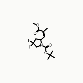 COC(=O)C(C)=CC1CC(F)(F)CN1C(=O)OC(C)(C)C